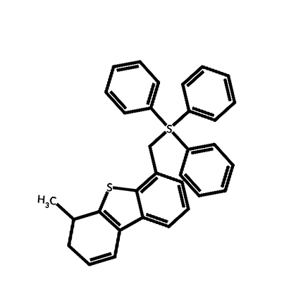 CC1CC=Cc2c1sc1c(CS(c3ccccc3)(c3ccccc3)c3ccccc3)cccc21